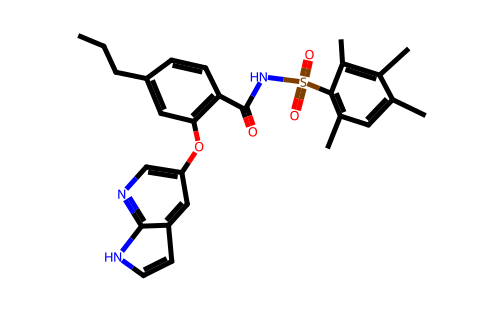 CCCc1ccc(C(=O)NS(=O)(=O)c2c(C)cc(C)c(C)c2C)c(Oc2cnc3[nH]ccc3c2)c1